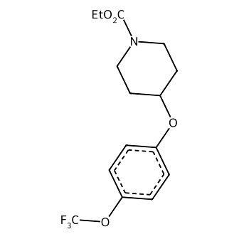 CCOC(=O)N1CCC(Oc2ccc(OC(F)(F)F)cc2)CC1